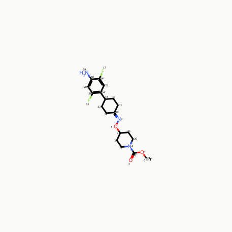 CC(C)OC(=O)N1CCC(ON=C2CCC(c3cc(F)c(N)cc3F)CC2)CC1